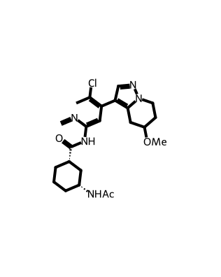 C=N/C(=C\C(=C(/C)Cl)c1cnn2c1CC(OC)CC2)NC(=O)[C@H]1CCC[C@@H](NC(C)=O)C1